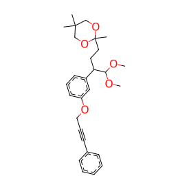 COC(OC)C(CCC1(C)OCC(C)(C)CO1)c1cccc(OCC#Cc2ccccc2)c1